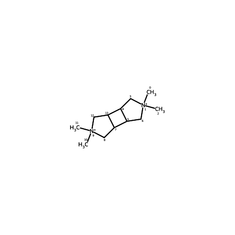 C[N+]1(C)CC2C(C1)C1C[N+](C)(C)CC21